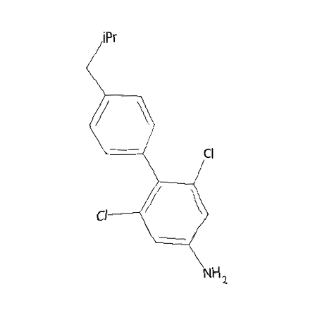 CC(C)Cc1ccc(-c2c(Cl)cc(N)cc2Cl)cc1